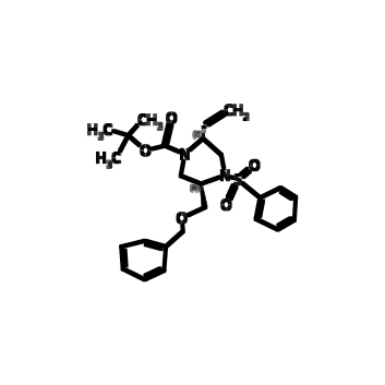 C=C[C@@H]1CN(S(=O)(=O)c2ccccc2)[C@@H](COCc2ccccc2)CN1C(=O)OC(C)(C)C